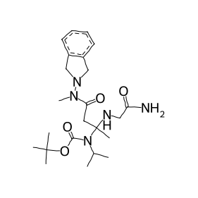 CC(C)N(C(=O)OC(C)(C)C)C(C)(CC(=O)N(C)N1Cc2ccccc2C1)NCC(N)=O